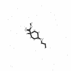 CCCOC1CCC(C)(C(=O)OC)CC1